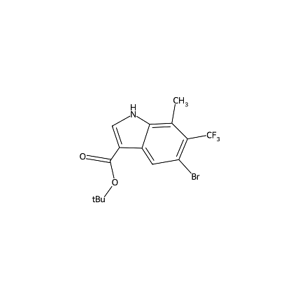 Cc1c(C(F)(F)F)c(Br)cc2c(C(=O)OC(C)(C)C)c[nH]c12